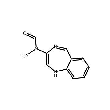 NN(C=O)C1=CNc2ccccc2C=N1